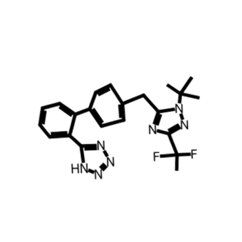 CC(F)(F)c1nc(Cc2ccc(-c3ccccc3-c3nnn[nH]3)cc2)n(C(C)(C)C)n1